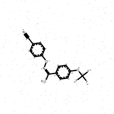 C/C(=N/Oc1ccc(C#N)cc1)c1ccc(OC(F)(F)F)cc1